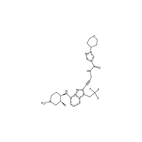 CN1CC[C@@H](Nc2cccc3c(CC(F)(F)F)c(C#CCNC(=O)c4cnn(C5CCOCC5)c4)nn23)[C@@H](F)C1